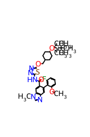 COc1cccc(F)c1-c1cc2ncn(C)c2cc1C(=O)Nc1nnc(OCC2CCC(O[Si](C)(C)C(C)(C)C)CC2)s1